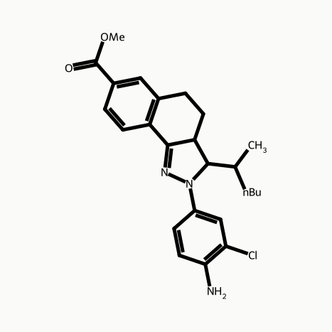 CCCCC(C)C1C2CCc3cc(C(=O)OC)ccc3C2=NN1c1ccc(N)c(Cl)c1